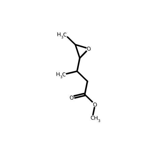 COC(=O)CC(C)C1OC1C